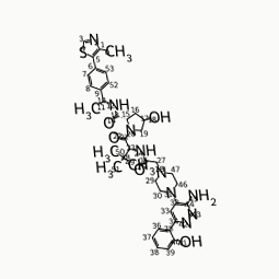 Cc1ncsc1-c1ccc([C@H](C)NC(=O)[C@@H]2C[C@@H](O)CN2C(=O)[C@@H](NC(=O)CN2CCN(c3cc(-c4ccccc4O)nnc3N)CC2)C(C)(C)C)cc1